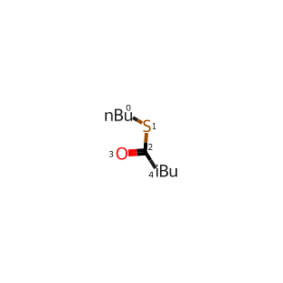 CCCCSC(=O)C(C)CC